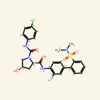 CN(C)S(=O)(=O)c1ccccc1-c1ccc(NC(=O)[C@H]2C[C@@H](O)CN2C(=O)Nc2ccc(Cl)cc2)c(F)c1